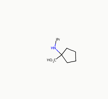 CC(C)NC1(C(=O)O)CCCC1